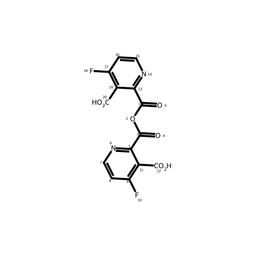 O=C(OC(=O)c1nccc(F)c1C(=O)O)c1nccc(F)c1C(=O)O